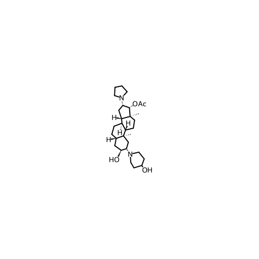 CC(=O)O[C@H]1[C@@H](N2CCCC2)C[C@H]2[C@@H]3CC[C@H]4C[C@H](O)[C@@H](N5CCC(O)CC5)C[C@]4(C)[C@H]3CC[C@@]21C